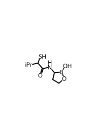 CC(C)C(S)C(=O)NC1CCOB1O